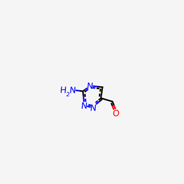 Nc1ncc(C=O)nn1